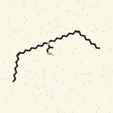 CCCCCCCC/C=C\CCCCCCCCN(CCCCCCCC/C=C\CCCCCCCC)C(C)CN